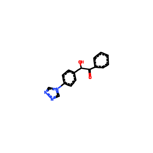 O=C(c1ccccc1)C(O)c1ccc(-n2cnnc2)cc1